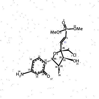 COP(=O)(/C=C/[C@@]1(CCl)O[C@@H](n2ccc(N)nc2=O)[C@H](F)[C@@H]1O)OC